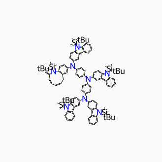 C=C1/C=C\C=C/Cc2cc(N(c3ccc(N(c4ccc(N(c5ccc6c(c5)c5ccccc5n6[Si](C)(C)C(C)(C)C)c5ccc6c(c5)c5ccccc5n6[Si](C)(C)C(C)(C)C)cc4)c4ccc5c(c4)c4ccccc4n5[Si](C)(C)C(C)(C)C)cc3)c3ccc4c(c3)c3ccccc3n4[Si](C)(C)C(C)(C)C)ccc2N1[Si](C)(C)C(C)(C)C